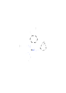 CCc1cccc(N(C)C(=N)NCCCl)c1.c1cc2cc-2c1